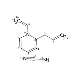 C=CCC1C=CC=CN1C=C.N#CS